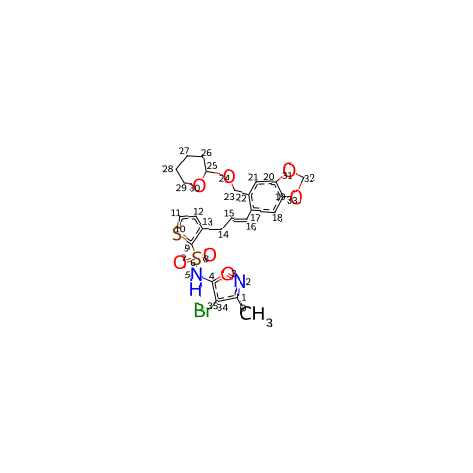 Cc1noc(NS(=O)(=O)c2sccc2C/C=C/c2cc3c(cc2COC2CCCCO2)OCO3)c1Br